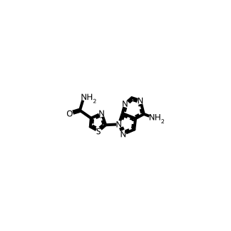 NC(=O)c1csc(-n2ncc3c(N)ncnc32)n1